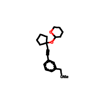 COCc1cccc(C#CC2(OC3CCCCO3)CCCC2)c1